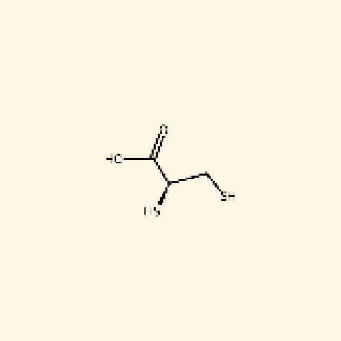 O=C(O)[C@H](S)CS